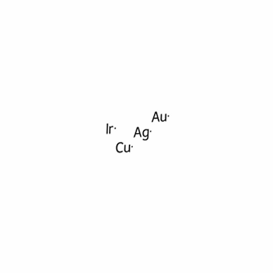 [Ag].[Au].[Cu].[Ir]